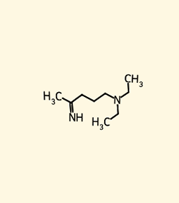 CCN(CC)CCCC(C)=N